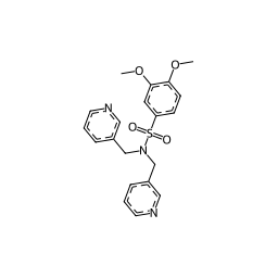 COc1ccc(S(=O)(=O)N(Cc2cccnc2)Cc2cccnc2)cc1OC